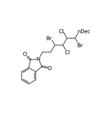 CCCCCCCCCCC(Br)C(Cl)C(Cl)C(Br)CCN1C(=O)c2ccccc2C1=O